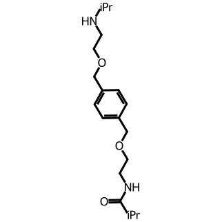 CC(C)NCCOCc1ccc(COCCNC(=O)C(C)C)cc1